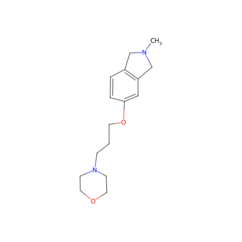 CN1Cc2ccc(OCCCN3CCOCC3)cc2C1